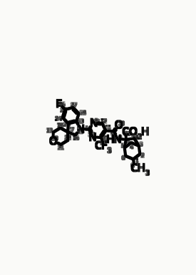 CC1CC2CC(C1)C(NC(=O)c1cnc(N3CC4(CCOCC4)c4cc(F)ccc43)nc1C(F)(F)F)(C(=O)O)C2